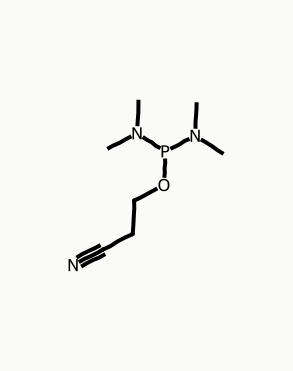 CN(C)P(OCCC#N)N(C)C